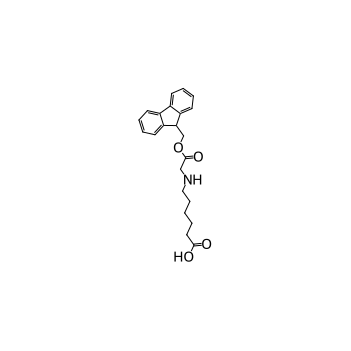 O=C(O)CCCCCNCC(=O)OCC1c2ccccc2-c2ccccc21